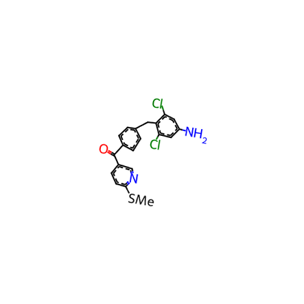 CSc1ccc(C(=O)c2ccc(Cc3c(Cl)cc(N)cc3Cl)cc2)cn1